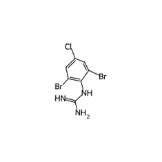 N=C(N)Nc1c(Br)cc(Cl)cc1Br